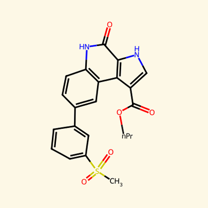 CCCOC(=O)c1c[nH]c2c(=O)[nH]c3ccc(-c4cccc(S(C)(=O)=O)c4)cc3c12